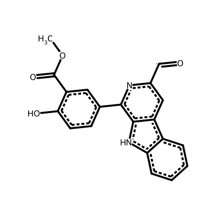 COC(=O)c1cc(-c2nc([C]=O)cc3c2[nH]c2ccccc23)ccc1O